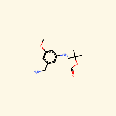 CC(C)(C)OC=O.COc1cc(N)cc(CN)c1